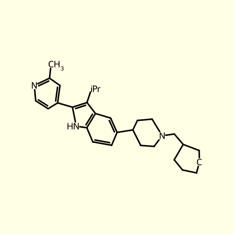 Cc1cc(-c2[nH]c3ccc(C4CCN(CC5CCCCC5)CC4)cc3c2C(C)C)ccn1